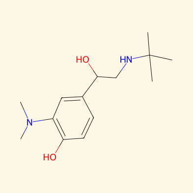 CN(C)c1cc(C(O)CNC(C)(C)C)ccc1O